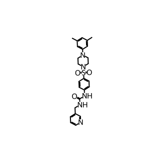 Cc1cc(C)cc(N2CCN(S(=O)(=O)c3ccc(NC(=O)NCc4cccnc4)cc3)CC2)c1